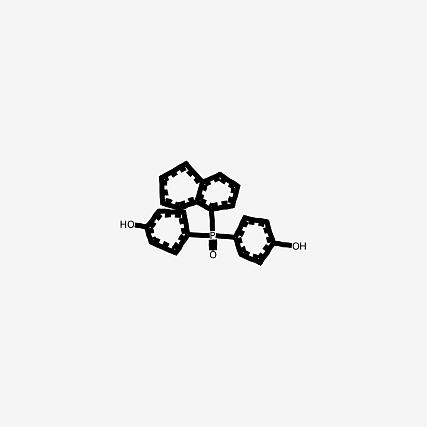 O=P(c1ccc(O)cc1)(c1ccc(O)cc1)c1cccc2ccccc12